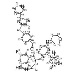 Cc1c(F)cc2[nH]ncc2c1-c1c(C2CC2)cc2c(N3C[C@@H]4C[C@H]3CN4)nc(OC3CCOCC3)nc2c1OCc1ccc(Cn2nc(-c3cnccn3)nc2C)cc1